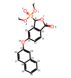 COP(=O)(OC)C1OC(=O)c2ccc(Oc3ccc4ccccc4c3)cc21